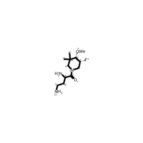 CO[C@@H]1[C@H](F)CN(C(=O)C(N)CCN)CC1(C)C